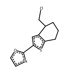 ClCC1CCCc2sc(-c3ncco3)cc21